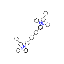 C1=CC(N(c2ccccc2)c2ccccc2)(N(c2ccccc2)c2ccc(-c3ccc(-c4ccc(-c5ccc(N(c6ccccc6)C6(N(c7ccccc7)c7ccccc7)C=CC(c7ccccc7)=CC6)cc5)cc4)cc3)cc2)CC=C1c1ccccc1